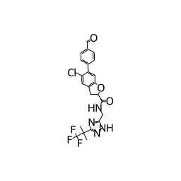 CC(C)(c1n[nH]c(CNC(=O)[C@H]2Cc3cc(Cl)c(-c4ccc(C=O)cc4)cc3O2)n1)C(F)(F)F